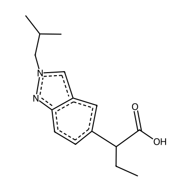 CCC(C(=O)O)c1ccc2nn(CC(C)C)cc2c1